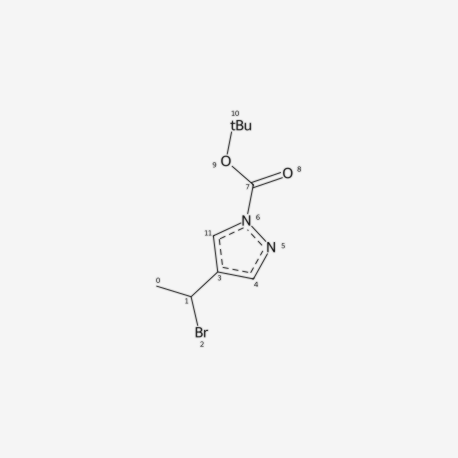 CC(Br)c1cnn(C(=O)OC(C)(C)C)c1